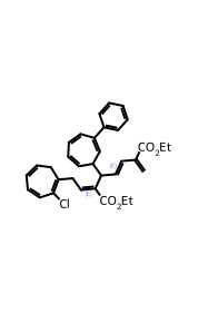 C=C(/C=C/C(/C(=C\CC1=C(Cl)C=CC=CC1)C(=O)OCC)C1C=CC=CC(c2ccccc2)=C1)C(=O)OCC